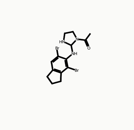 CC(=O)N1CCNC1Nc1c(Br)cc2c(c1Br)CCC2